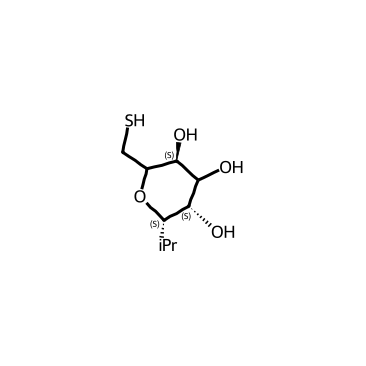 CC(C)[C@@H]1OC(CS)[C@@H](O)C(O)[C@@H]1O